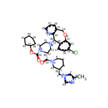 Cc1cn(C[C@@H]2CCCN(C(=O)[C@H]3CN([C@@H]4c5ccc(Cl)cc5OCc5cccnc54)CCN3C(=O)OC3CCCCC3)C2)cn1